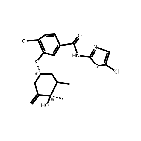 C=C1C[C@H](Sc2cc(C(=O)Nc3ncc(Cl)s3)ccc2Cl)CC(C)[C@@]1(C)O